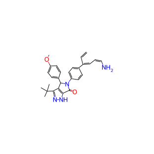 C=C/C(=C\C=C/N)c1ccc(N2C(=O)c3[nH]nc(C(C)(C)C)c3C2c2ccc(OC)cc2)cc1